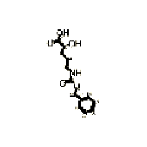 O=C(NCCC[C@@H](O)C(=O)O)OCc1ccccc1